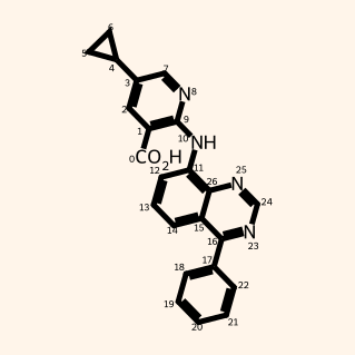 O=C(O)c1cc(C2CC2)cnc1Nc1cccc2c(-c3ccccc3)ncnc12